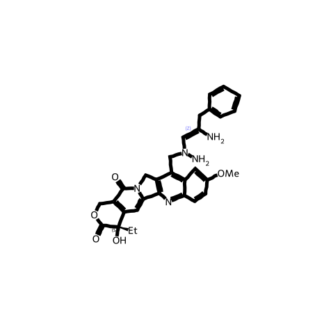 CC[C@@]1(O)C(=O)OCc2c1cc1n(c2=O)Cc2c-1nc1ccc(OC)cc1c2CN(N)/C=C(\N)Cc1ccccc1